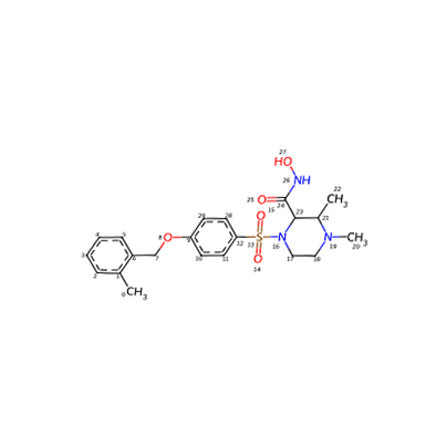 Cc1ccccc1COc1ccc(S(=O)(=O)N2CCN(C)C(C)C2C(=O)NO)cc1